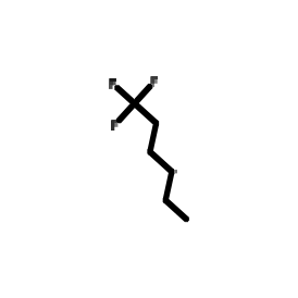 CC[CH]CCC(F)(F)F